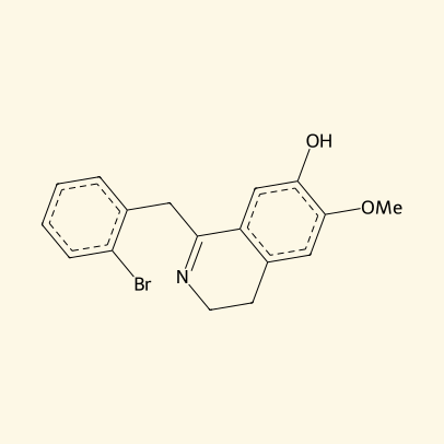 COc1cc2c(cc1O)C(Cc1ccccc1Br)=NCC2